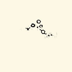 COC(=O)c1nc2cc(NC(=O)[C@H]3[C@H](C4CCCCC4)CCN3C(=O)C3CCC([C@@H](CF)NC(=O)OC(C)(C)C)CC3)ccc2o1